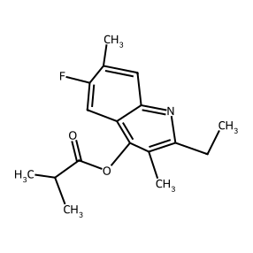 CCc1nc2cc(C)c(F)cc2c(OC(=O)C(C)C)c1C